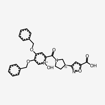 O=C(O)c1cc([C@H]2CCN(C(=O)c3cc(OCc4ccccc4)c(OCc4ccccc4)c[n+]3O)C2)no1